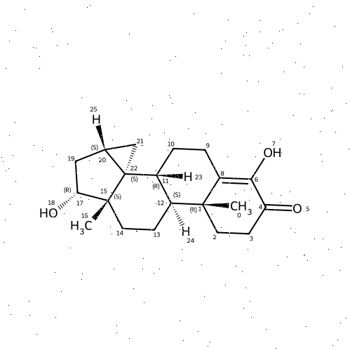 C[C@]12CCC(=O)C(O)=C1CC[C@@H]1[C@@H]2CC[C@]2(C)[C@H](O)C[C@@H]3C[C@]312